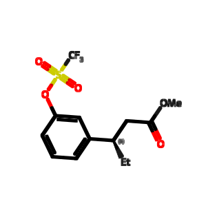 CC[C@H](CC(=O)OC)c1cccc(OS(=O)(=O)C(F)(F)F)c1